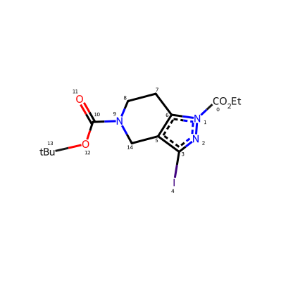 CCOC(=O)n1nc(I)c2c1CCN(C(=O)OC(C)(C)C)C2